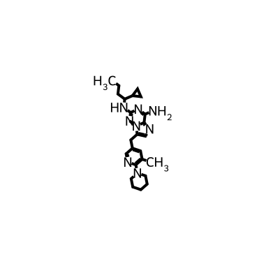 CCCC(Nc1nc(N)c2ncc(Cc3cnc(N4CCCCC4)c(C)c3)n2n1)C1CC1